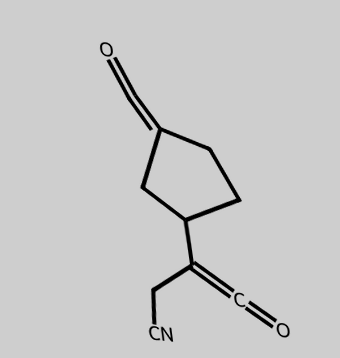 N#CCC(=C=O)C1CCC(=C=O)C1